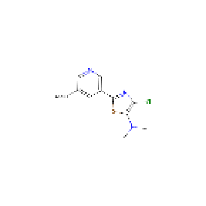 COc1cncc(-c2nc(Cl)c(N(C)C)s2)c1